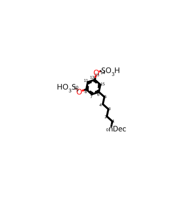 CCCCCCCCCCCCCCCc1cc(OS(=O)(=O)O)cc(OS(=O)(=O)O)c1